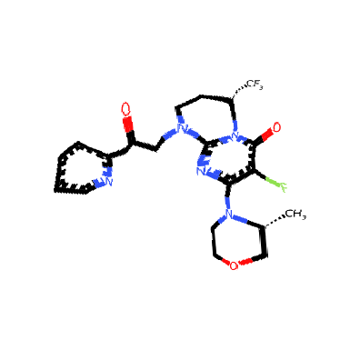 C[C@@H]1COCCN1c1nc2n(c(=O)c1F)[C@@H](C(F)(F)F)CCN2CC(=O)c1ccccn1